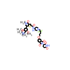 COc1cc(-c2cn(C)c(=O)c3cc(C(=O)NC4CCN(CC(F)(F)CCCOc5ccc6c(c5)C(=O)N(C5CCC(=O)NC5=O)C6=O)CC4)sc23)cc(OC)c1CN(C)C